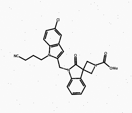 COC(=O)N1CC2(C1)C(=O)N(Cc1cc3cc(Cl)ccc3n1CCCC#N)c1ccccc12